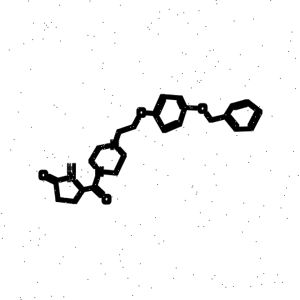 O=C1CCC(C(=O)N2CCN(CCOc3ccc(OCc4ccccc4)cc3)CC2)N1